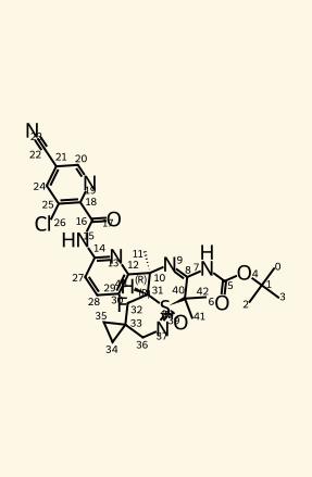 CC(C)(C)OC(=O)NC1=N[C@](C)(c2nc(NC(=O)c3ncc(C#N)cc3Cl)ccc2F)[C@H]2CC3(CC3)CN=[S@]2(=O)C1(C)C